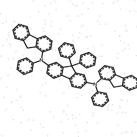 c1ccc(N(c2ccc3c(c2)C(c2ccccc2)(c2ccccc2)c2cc(N(c4ccccc4)c4cccc5c4Cc4ccccc4-5)ccc2-3)c2cccc3c2Cc2ccccc2-3)cc1